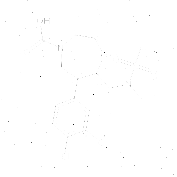 CN(CC1OCCN(C(=O)O)CC1c1ccc(Cl)c(Cl)c1)S(C)(=O)=O